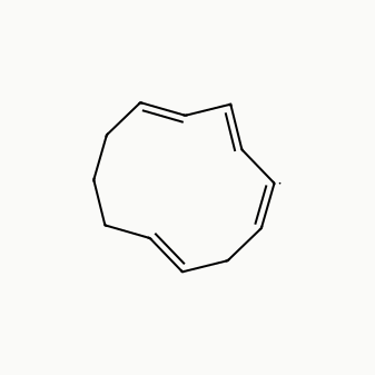 [C]1=C\C/C=C/CCC/C=C/C=C/1